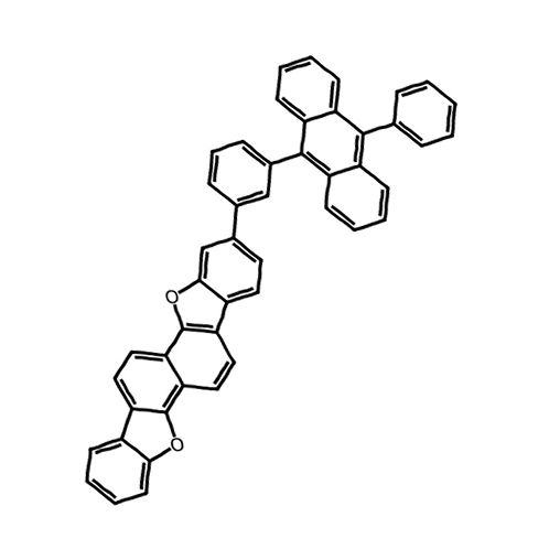 c1ccc(-c2c3ccccc3c(-c3cccc(-c4ccc5c(c4)oc4c5ccc5c4ccc4c6ccccc6oc45)c3)c3ccccc23)cc1